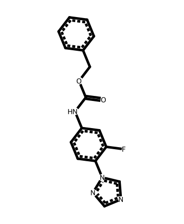 O=C(Nc1ccc(-n2cncn2)c(F)c1)OCc1ccccc1